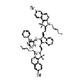 CCCCCN1/C(=C/C=C2C(Sc3nnnn3-c3ccccc3)=C(/C=C/C3=[N+](CCCCC)c4ccc5cc(Br)ccc5c4C3(C)C)c3ccccc3/2)C(C)(C)c2c1ccc1cc(Br)ccc21